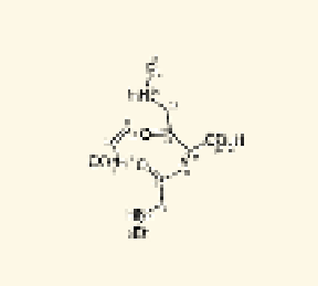 C=CC(=O)O.CCNCC(=O)C=C(C(=O)O)C(=O)CNCC